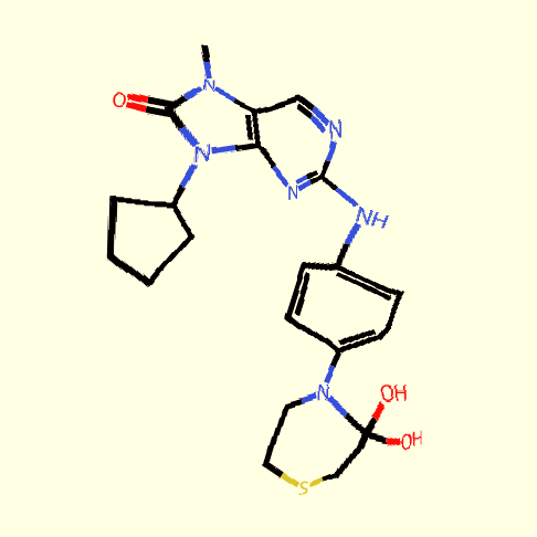 Cn1c(=O)n(C2CCCC2)c2nc(Nc3ccc(N4CCSCC4(O)O)cc3)ncc21